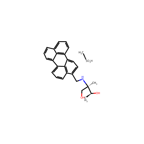 CS(=O)(=O)O.C[C@H](O)[C@@](C)(CO)NCc1ccc2c3cccc4cccc(c5cccc1c52)c43